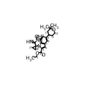 CCOC(=O)c1cc2cc(C3CCOC(C)(C)C3)ccc2n1C1(C(=N)NO)CC1